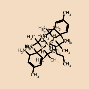 CCC[CH2][Pd-3]([Cl])([Cl])([PH](C(C)(C)C)(C(C)(C)C)C1(C)C=CC(C)=CC1N)[PH](C(C)(C)C)(C(C)(C)C)C1(C)C=CC(C)=CC1N